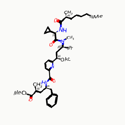 CNCCCC[C@@H](C)C(=O)N[C@H](C(=O)N(C)[C@H](C[C@@H](OC(C)=O)c1cccc(C(=O)N[C@@H](Cc2ccccc2)C[C@H](C)C(=O)OC)n1)C(C)C)C1CC1